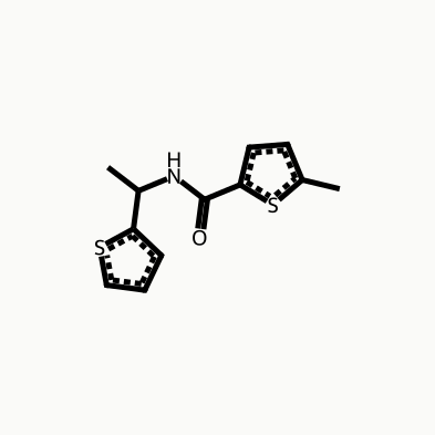 Cc1ccc(C(=O)NC(C)c2cccs2)s1